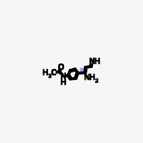 CC(=O)Nc1ccc(/C(N)=C/C=N)cc1